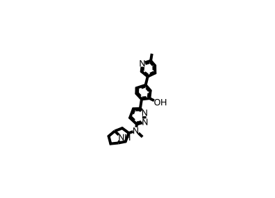 Cc1ccc(-c2ccc(-c3ccc(N(C)C4CC5CCC(C4)N5)nn3)c(O)c2)cn1